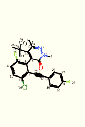 Cc1nn(C)c(=O)c(-c2c(F)ccc(Cl)c2C#Cc2ccc(F)cc2)c1C(C)(C)C(=O)O